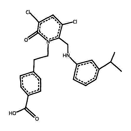 CC(C)c1cccc(NCc2c(Cl)cc(Cl)c(=O)n2CCc2ccc(C(=O)O)cc2)c1